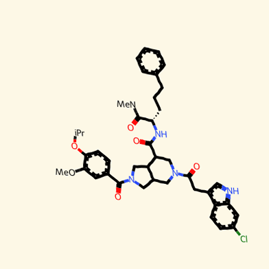 CNC(=O)[C@H](CCCc1ccccc1)NC(=O)C1CN(C(=O)Cc2c[nH]c3cc(Cl)ccc23)CC2CN(C(=O)c3ccc(OC(C)C)c(OC)c3)CC21